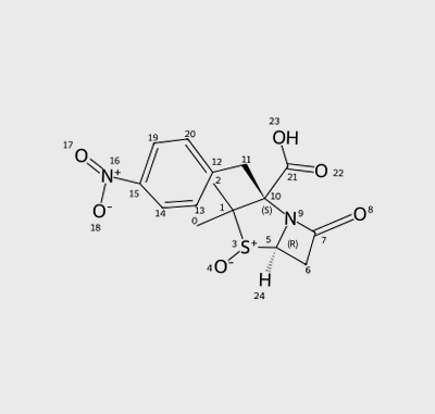 CC1(C)[S+]([O-])[C@@H]2CC(=O)N2[C@@]1(Cc1ccc([N+](=O)[O-])cc1)C(=O)O